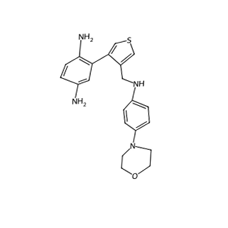 Nc1ccc(N)c(-c2cscc2CNc2ccc(N3CCOCC3)cc2)c1